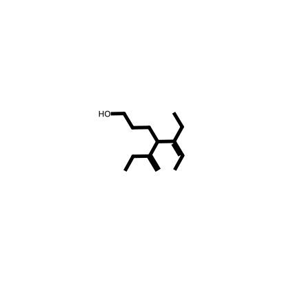 C=C(CC)C(CCCO)/C(=C\C)CC